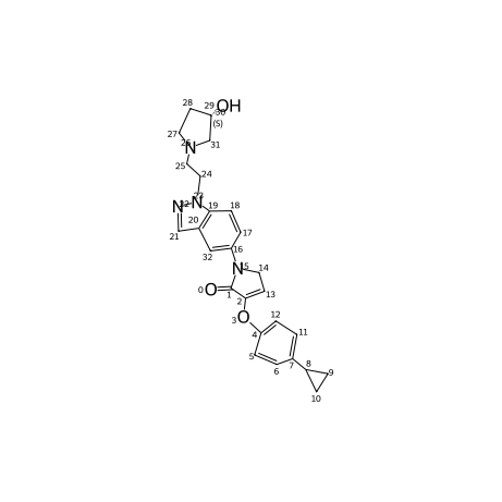 O=C1C(Oc2ccc(C3CC3)cc2)=CCN1c1ccc2c(cnn2CCN2CC[C@H](O)C2)c1